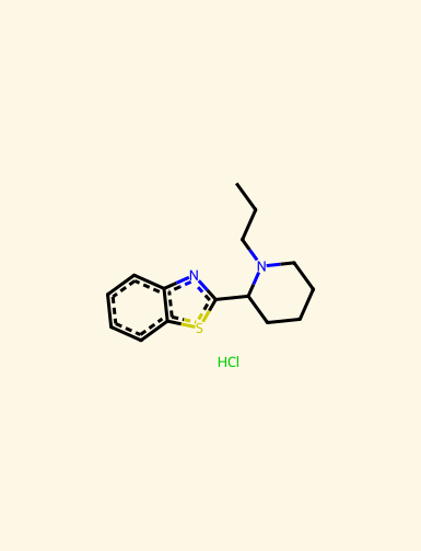 CCCN1CCCCC1c1nc2ccccc2s1.Cl